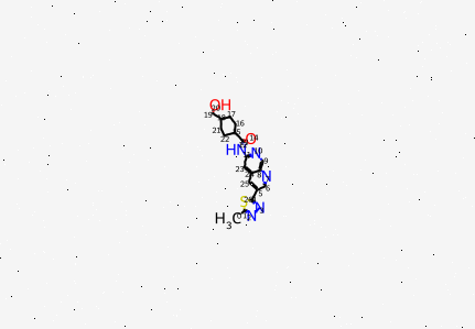 Cc1nnc(-c2cnc3cnc(NC(=O)C4CCC(CO)CC4)cc3c2)s1